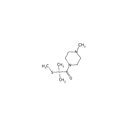 CSC(C)(C)C(=O)N1CCN(C)CC1